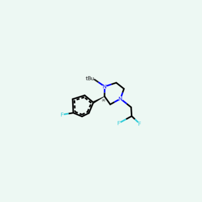 CC(C)(C)N1CCN(CC(F)F)C[C@H]1c1ccc(F)cc1